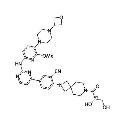 COc1nc(Nc2nccc(-c3ccc(N4CC5(CCN(C(=O)[C@@H](O)CO)CC5)C4)c(C#N)c3)n2)ccc1N1CCN(C2COC2)CC1